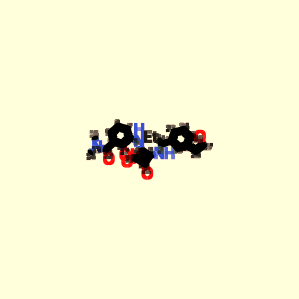 CCC(Nc1c(Nc2cccc(C(=O)N(C)C)c2O)c(=O)c1=O)c1ccc2occc2c1